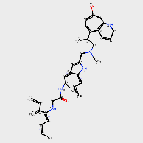 C=C/C=c1/[nH]c(CN(C)CC(C)C2=CC=C(O)CC3=C2C=CCN3)c/c1=C/C(C)NC(=O)CN/C(=C/C=C\C)C(=C)C=C